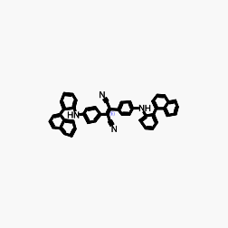 N#C/C(=C(/C#N)c1ccc(Nc2ccccc2-c2cccc3ccccc23)cc1)c1ccc(Nc2ccccc2-c2cccc3ccccc23)cc1